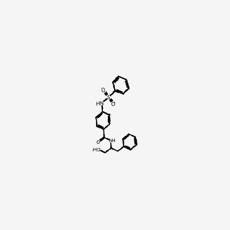 O=C(NC(CO)Cc1ccccc1)c1ccc(NS(=O)(=O)c2ccccc2)cc1